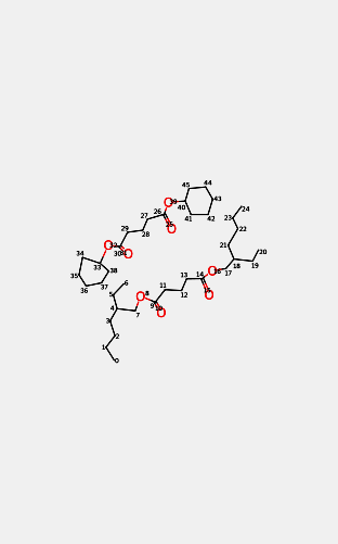 CCCCC(CC)COC(=O)CCCC(=O)OCC(CC)CCCC.O=C(CCCC(=O)OC1CCCCC1)OC1CCCCC1